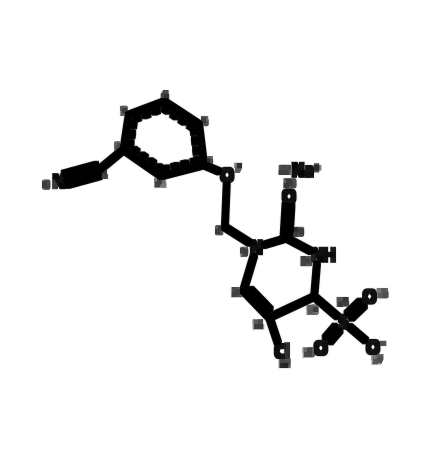 N#Cc1cccc(OCN2C=C(Cl)C(S(=O)(=O)[O-])NC2=O)c1.[Na+]